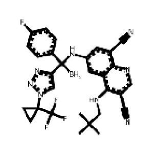 BC(Nc1cc(C#N)c2ncc(C#N)c(NCC(C)(C)C)c2c1)(c1ccc(F)cc1)c1cn(C2(C(F)(F)F)CC2)nn1